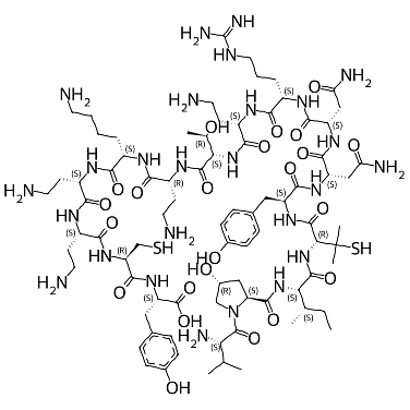 CC[C@H](C)[C@H](NC(=O)[C@@H]1C[C@@H](O)CN1C(=O)[C@@H](N)C(C)C)C(=O)N[C@H](C(=O)N[C@@H](Cc1ccc(O)cc1)C(=O)N[C@@H](CC(N)=O)C(=O)N[C@@H](CC(N)=O)C(=O)N[C@@H](CCCNC(=N)N)C(=O)N[C@@H](CCN)C(=O)N[C@H](C(=O)N[C@H](CCN)C(=O)N[C@@H](CCCCN)C(=O)N[C@@H](CCN)C(=O)N[C@@H](CCN)C(=O)N[C@@H](CS)C(=O)N[C@@H](Cc1ccc(O)cc1)C(=O)O)[C@@H](C)O)C(C)(C)S